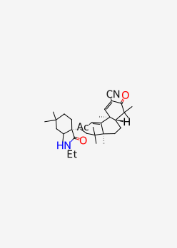 CCNC(=O)[C@]1(CCC(C)(C)[C@]2(C)CC[C@H]3C(C)(C)C(=O)C(C#N)=C[C@]3(C)/C2=C/C(C)=O)CCC(C)(C)CC1C